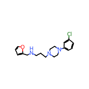 Clc1cccc(N2CCN(CCCNCc3ccco3)CC2)c1